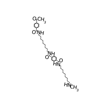 CNCCCCCCCCCNC(=O)c1ccc(C(=O)NCCCCCCCCCNC(=O)c2ccc(C(C)=O)cc2)cc1